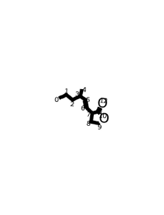 CCCC(C)C=CC1CCOC1=O